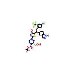 CC(C)(C)OC(=O)N1CCN(C2=NC(=O)C(=C(Cc3ccc(Cl)cc3C(F)(F)F)c3ccc4[nH]ncc4c3)S2)C[C@@H]1CO